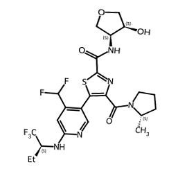 CC[C@H](Nc1cc(C(F)F)c(-c2sc(C(=O)N[C@H]3COC[C@H]3O)nc2C(=O)N2CCC[C@@H]2C)cn1)C(F)(F)F